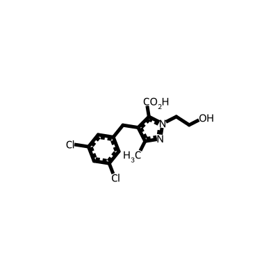 Cc1nn(CCO)c(C(=O)O)c1Cc1cc(Cl)cc(Cl)c1